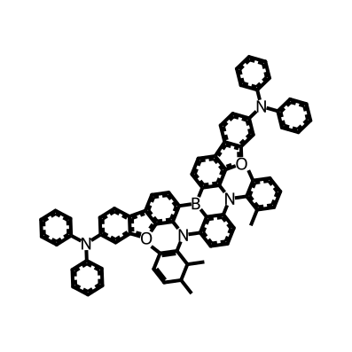 CC1=C(N2c3cccc4c3B(c3ccc5c(oc6cc(N(c7ccccc7)c7ccccc7)ccc65)c32)c2ccc3c(oc5cc(N(c6ccccc6)c6ccccc6)ccc53)c2N4c2c(C)cccc2C)C(C)C(C)C=C1